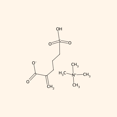 C=C(CCCS(=O)(=O)O)C(=O)[O-].C[N+](C)(C)C